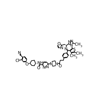 Cc1sc2c(c1C)C(c1ccc(CCC(=O)N3CCN(c4ccc(C(=O)N[C@H]5CC[C@H](Oc6ccc(C#N)c(Cl)c6)CC5)nn4)CC3)cc1)=N[C@@H](Cc1ncco1)c1nnc(C)n1-2